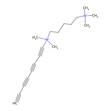 C#CC#CC#CC#C[N+](C)(C)CCCCC[N+](C)(C)C